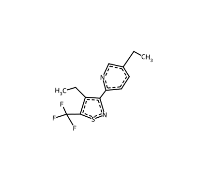 CCc1ccc(-c2nsc(C(F)(F)F)c2CC)nc1